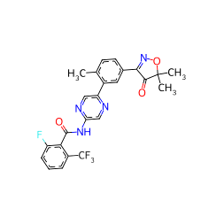 Cc1ccc(C2=NOC(C)(C)C2=O)cc1-c1cnc(NC(=O)c2c(F)cccc2C(F)(F)F)cn1